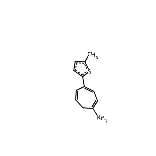 Cc1ccc(C2=CC=C(N)CC=C2)s1